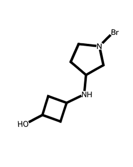 OC1CC(NC2CCN(Br)C2)C1